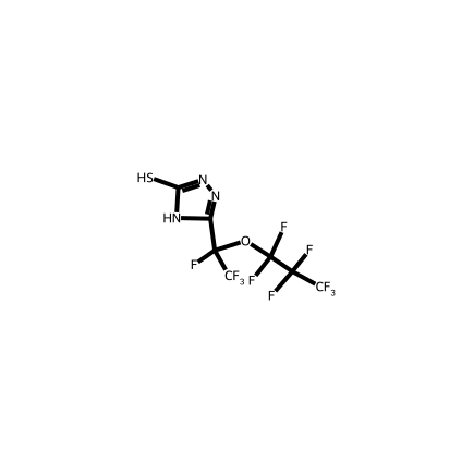 FC(F)(F)C(F)(OC(F)(F)C(F)(F)C(F)(F)F)c1nnc(S)[nH]1